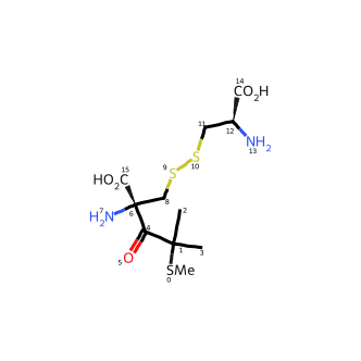 CSC(C)(C)C(=O)[C@](N)(CSSC[C@H](N)C(=O)O)C(=O)O